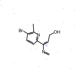 C=N/C(=C/CO)c1ccc(Br)c(C)n1